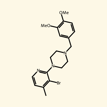 COc1ccc(CN2CCN(c3nccc(C)c3Br)CC2)cc1OC